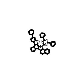 c1ccc(-c2ccc3c(c2)oc2c3c3ccccc3c3c4ccc5ccccc5c4n(-c4nc(-c5ccccc5)nc(-c5ccccc5)n4)c23)cc1